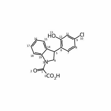 O=C(O)C(=O)N1CC(c2ccc(Cl)cc2O)c2ccccc21